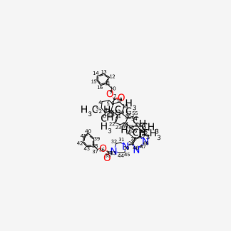 C[C@H]1[C@H](C)CC[C@]2(C(=O)OCc3ccccc3)CC[C@]3(C)C(=CC[C@@H]4[C@@]5(C)Cc6c(N7CCN(C(=O)OCc8ccccc8)CC7)ncnc6C(C)(C)[C@@H]5CC[C@]43C)[C@H]12